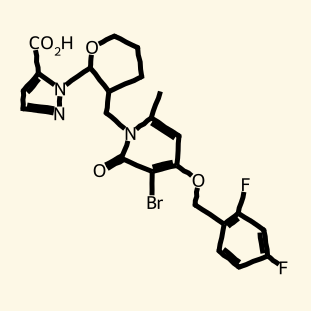 Cc1cc(OCc2ccc(F)cc2F)c(Br)c(=O)n1CC1CCCOC1n1nccc1C(=O)O